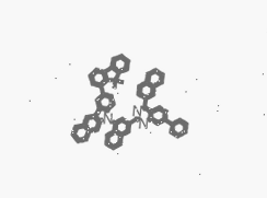 CC1(C)c2ccccc2-c2cccc(-c3ccc4c(c3)c3cc5ccccc5cc3n4-c3cc(-c4nc(-c5ccc6ccccc6c5)c5ccc(-c6ccccc6)cc5n4)cc4ccccc34)c21